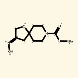 CC(C)(C)OC(=O)N1CCC2(CC1)C/C(=N\O)CO2